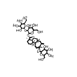 C=C1C[C@@]2(C)CCC3[C@](C)(C(=O)OC4OC(CO)C(O)C(O)C4OC4OC(CO)C(O)C(O)C4O)CCC[C@@]3(C)[C@@H]2CC[C@@]1(C)OC1OC(CO)C(O)C(O)C1O